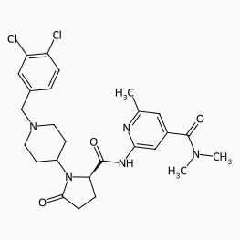 Cc1cc(C(=O)N(C)C)cc(NC(=O)[C@H]2CCC(=O)N2C2CCN(Cc3ccc(Cl)c(Cl)c3)CC2)n1